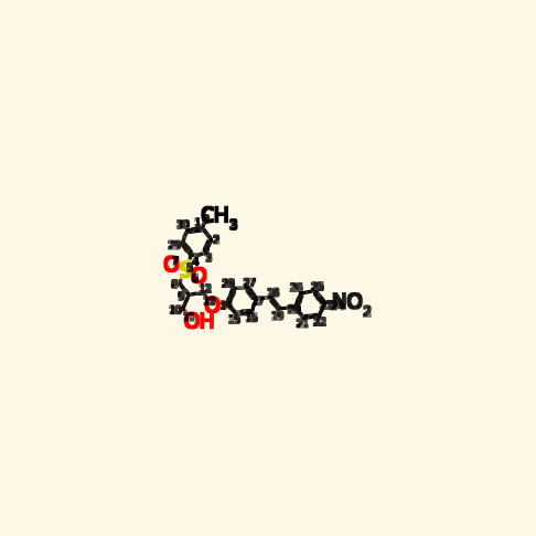 Cc1ccc(S(=O)(=O)CC(CO)COc2ccc(/C=C/c3ccc([N+](=O)[O-])cc3)cc2)cc1